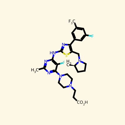 Cc1nc(Nc2nc(-c3cc(F)cc(C(F)(F)F)c3)c(CN3CCC[C@H]3C)s2)c(F)c(N2CCN(CCC(=O)O)CC2)n1